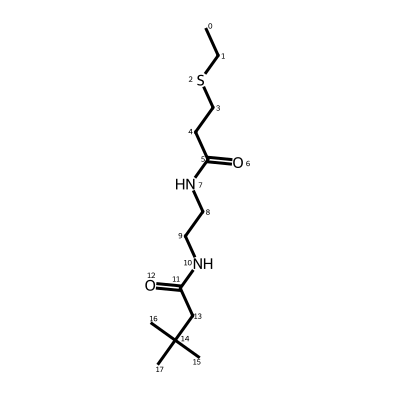 CCSCCC(=O)NCCNC(=O)CC(C)(C)C